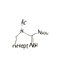 [CH2]CCCCCCCN(C(=N)NC(C)=O)C(C)=O